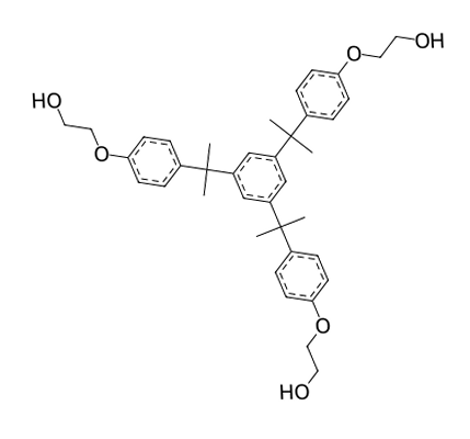 CC(C)(c1ccc(OCCO)cc1)c1cc(C(C)(C)c2ccc(OCCO)cc2)cc(C(C)(C)c2ccc(OCCO)cc2)c1